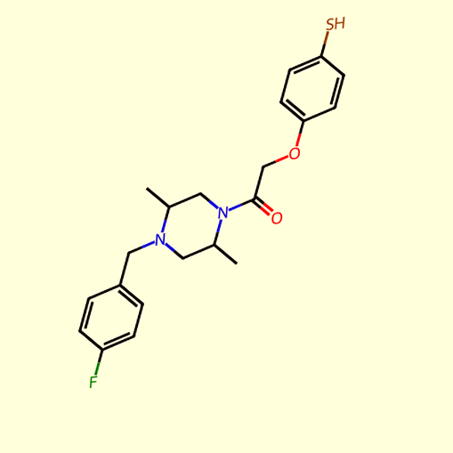 CC1CN(C(=O)COc2ccc(S)cc2)C(C)CN1Cc1ccc(F)cc1